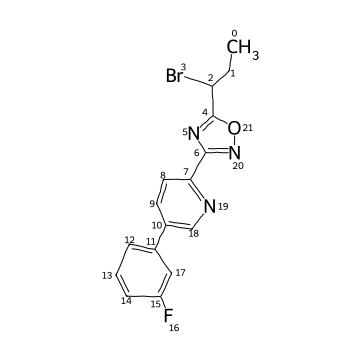 CCC(Br)c1nc(-c2ccc(-c3cccc(F)c3)cn2)no1